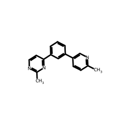 Cc1ccc(-c2cccc(-c3ccnc(C)n3)c2)cn1